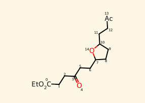 CCOC(=O)CCC(=O)CCC1CCC(CCC(C)=O)O1